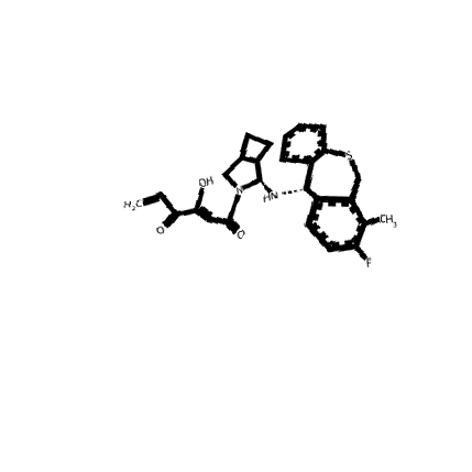 C=CC(=O)/C(O)=C/C(=O)N1CC2CCC2[C@H]1N[C@@H]1c2ccccc2SCc2c1ccc(F)c2C